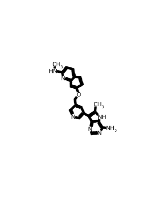 CNc1ccc2ccc(OCc3cncc(-c4c(C)[nH]c5c(N)ncnc45)c3)cc2n1